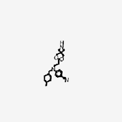 CC1CCC(CN(CCC2OCC3(CNC3)CO2)c2ccc(C#N)cc2)CC1